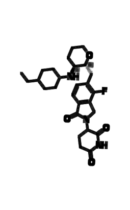 CCC1CCC(N[C@H]2CCCO[C@@H]2Cc2ccc3c(c2F)CN(C2CCC(=O)NC2=O)C3=O)CC1